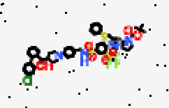 CC(C)(C)OC(=O)N1CCC[C@@H]1C[C@H](CSc1ccccc1)Nc1ccc(S(=O)(=O)NCc2ccc(N3CCC([C@@H](O)c4ccccc4-c4ccc(Cl)cc4)CC3)cc2)cc1S(=O)(=O)C(F)(F)F